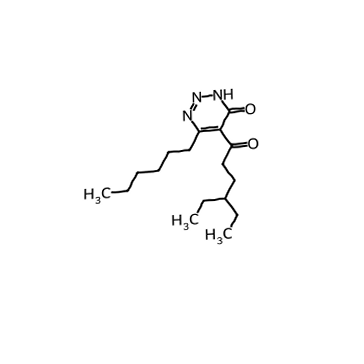 CCCCCCc1nn[nH]c(=O)c1C(=O)CCC(CC)CC